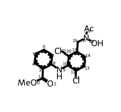 COC(=O)c1ccccc1Nc1c(Cl)ccc(CN(O)C(C)=O)c1Cl